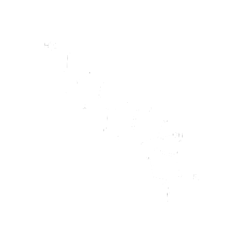 CCCC1CCC(c2ccc3c(c2)CCC(O)(c2ccc(F)c(F)c2)C3)CC1